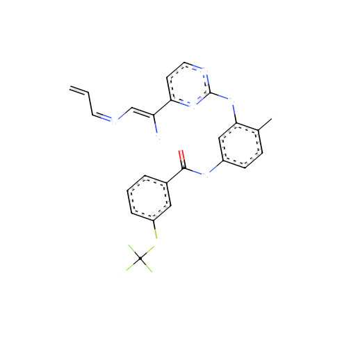 C=C/C=N\C=C(/N)c1ccnc(Nc2cc(NC(=O)c3cccc(SC(F)(F)F)c3)ccc2C)n1